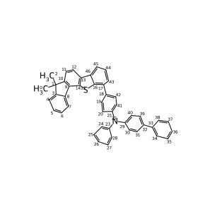 CC1(C)c2ccccc2-c2c1ccc1c2sc2c(-c3ccc(N(c4ccccc4)c4ccc(-c5ccccc5)cc4)cc3)cccc21